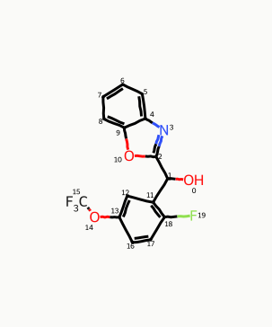 OC(c1nc2ccccc2o1)c1cc(OC(F)(F)F)ccc1F